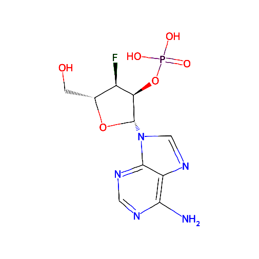 Nc1ncnc2c1ncn2[C@@H]1O[C@H](CO)[C@@H](F)[C@H]1OP(=O)(O)O